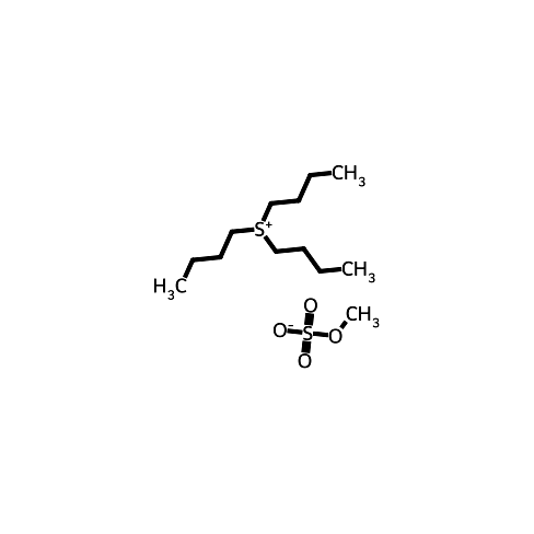 CCCC[S+](CCCC)CCCC.COS(=O)(=O)[O-]